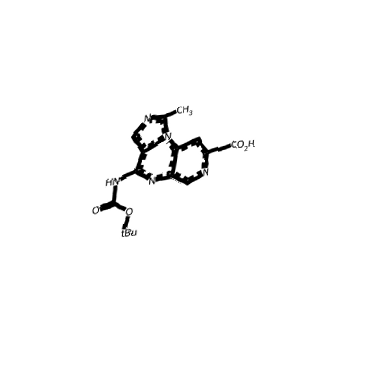 Cc1ncc2c(NC(=O)OC(C)(C)C)nc3cnc(C(=O)O)cc3n12